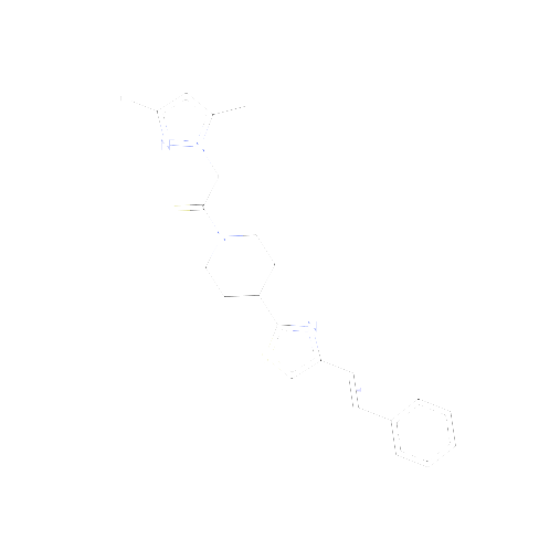 Cc1cc(C(F)(F)F)nn1CC(=S)N1CCC(c2nc(/C=C/c3ccccc3)cs2)CC1